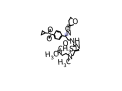 CN(C)CCN(C)Cc1cnc(NC(=O)/C(=N/O[C@@H]2CCOC2)c2ccc(S(=O)(=O)C3CC3)cc2)s1